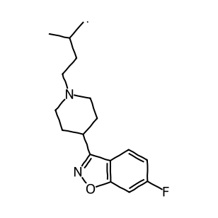 [CH2]C(C)CCN1CCC(c2noc3cc(F)ccc23)CC1